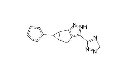 c1ccc(C2C3Cc4c(n[nH]c4C4=NCN=N4)C32)cc1